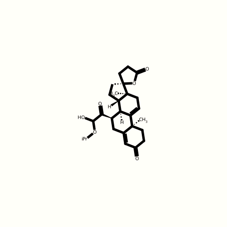 CC(C)OC(O)C(=O)[C@@H]1CC2=CC(=O)CC[C@]2(C)C2=CC[C@@]3(C)[C@@H](CC[C@@]34CCC(=O)O4)[C@@H]21